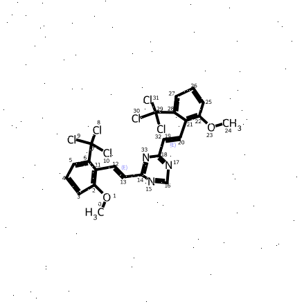 COc1cccc(C(Cl)(Cl)Cl)c1/C=C/c1ncnc(/C=C/c2c(OC)cccc2C(Cl)(Cl)Cl)n1